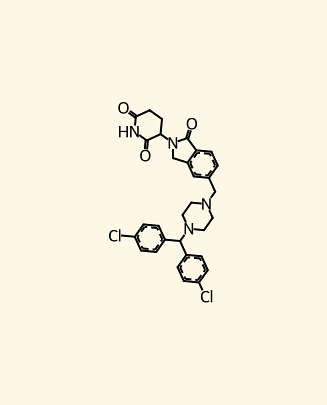 O=C1CCC(N2Cc3cc(CN4CCN(C(c5ccc(Cl)cc5)c5ccc(Cl)cc5)CC4)ccc3C2=O)C(=O)N1